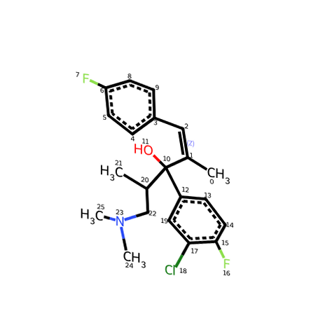 C/C(=C/c1ccc(F)cc1)C(O)(c1ccc(F)c(Cl)c1)C(C)CN(C)C